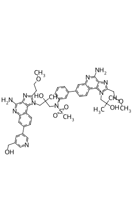 COCCc1nc2c(N)nc3cc(-c4cccc(N(CC(C)(O)Cn5c(CCOC)nc6c(N)nc7cc(-c8cncc(CO)c8)ccc7c65)S(C)(=O)=O)c4)ccc3c2n1CC(C)(C)O